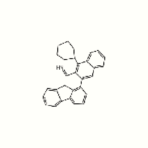 N=Cc1c(-c2cccc3c2Cc2ccccc2-3)cc2ccccc2c1C1CCCCC1